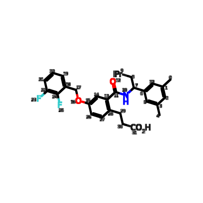 Cc1cc(C)cc(C(CC(C)C)NC(=O)c2cc(OCc3cccc(F)c3F)ccc2CCC(=O)O)c1